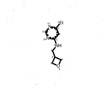 CCc1cc(NCC2COC2)ncn1